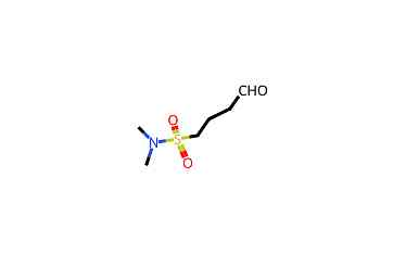 CN(C)S(=O)(=O)CCCC=O